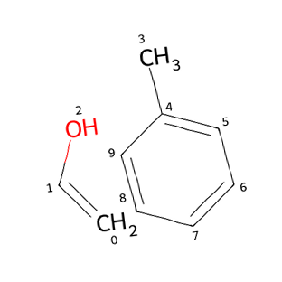 C=CO.Cc1ccccc1